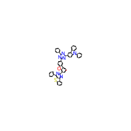 c1ccc(-c2nc(-c3ccc4oc5c(-c6nc(-c7ccccc7)c7sc8ccccc8c7n6)cccc5c4c3)nc(-c3ccc4c(c3)c3ccccc3n4-c3ccccc3)n2)cc1